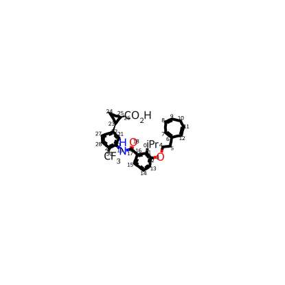 CC(C)c1c(OCCC2=CC=CCC=C2)cccc1C(=O)Nc1cc([C@H]2C[C@H]2C(=O)O)ccc1C(F)(F)F